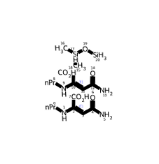 CCCN/C(=C/C(N)=O)C(=O)O.CCCN/C(=C/C(N)=O)C(=O)O.C[SiH](C)O[SiH3]